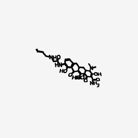 CC=CCNCC(=O)Nc1ccc2c(c1O)C(=O)C1=C(O)C3(O)C(=O)C(C(N)=O)=C(O)[C@@H](N(C)C)C3CC1C2